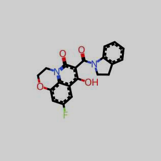 O=C(c1c(O)c2cc(F)cc3c2n(c1=O)CCO3)N1CCc2ccccc21